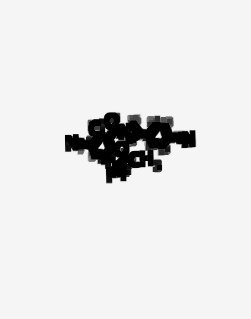 C[C@H](Oc1ccc(C#N)c(Cl)c1C(=O)N1CC(c2ccc(C#N)cc2)C1)C(F)(F)F